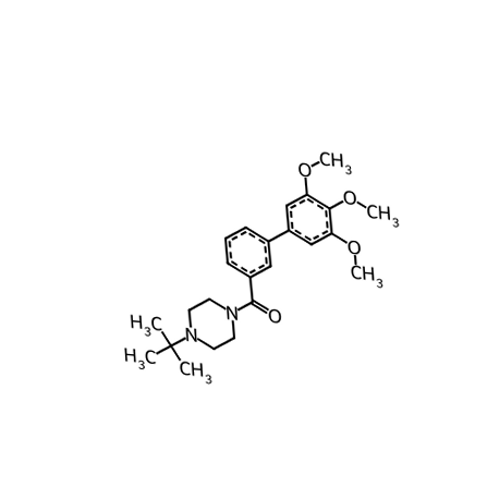 COc1cc(-c2cccc(C(=O)N3CCN(C(C)(C)C)CC3)c2)cc(OC)c1OC